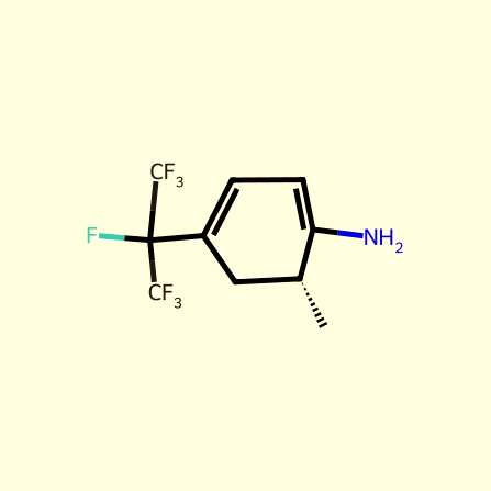 C[C@@H]1CC(C(F)(C(F)(F)F)C(F)(F)F)=CC=C1N